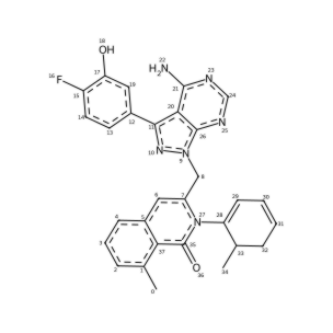 Cc1cccc2cc(Cn3nc(-c4ccc(F)c(O)c4)c4c(N)ncnc43)n(C3=CC=CCC3C)c(=O)c12